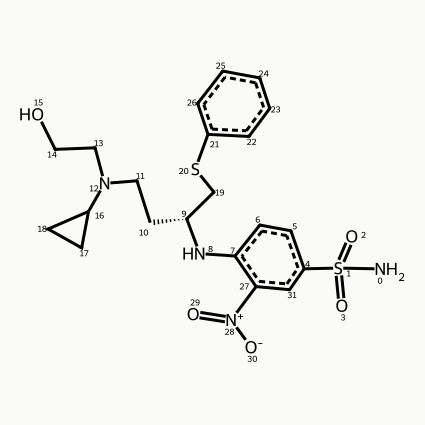 NS(=O)(=O)c1ccc(N[C@H](CCN(CCO)C2CC2)CSc2ccccc2)c([N+](=O)[O-])c1